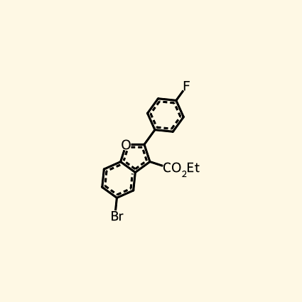 CCOC(=O)c1c(-c2ccc(F)cc2)oc2ccc(Br)cc12